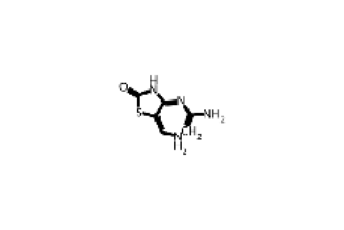 C=C(N)/N=C1/NC(=O)S/C1=C/N